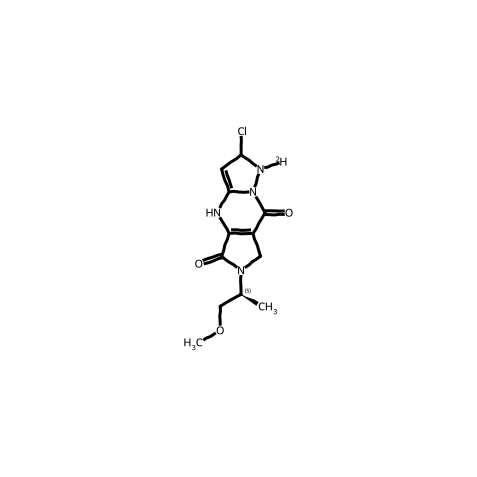 [2H]N1C(Cl)C=C2NC3=C(CN([C@@H](C)COC)C3=O)C(=O)N21